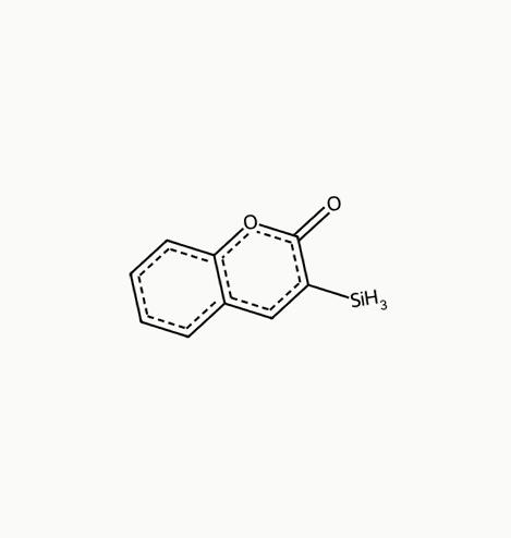 O=c1oc2ccccc2cc1[SiH3]